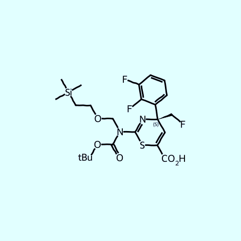 CC(C)(C)OC(=O)N(COCC[Si](C)(C)C)C1=N[C@](CF)(c2cccc(F)c2F)C=C(C(=O)O)S1